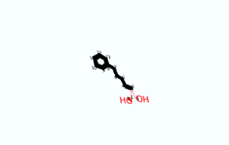 OB(O)C=CCCCc1ccccc1